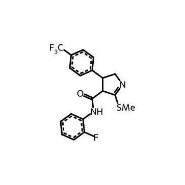 CSC1=NCC(c2ccc(C(F)(F)F)cc2)C1C(=O)Nc1ccccc1F